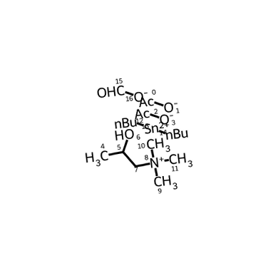 CC(=O)[O-].CC(=O)[O-].CC(O)C[N+](C)(C)C.CCC[CH2][Sn+2][CH2]CCC.O=C[O-]